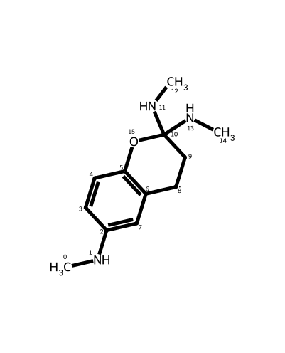 CNc1ccc2c(c1)[CH]CC(NC)(NC)O2